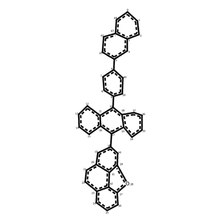 c1ccc2cc(-c3ccc(-c4c5ccccc5c(-c5cc6ccc7cccc8oc(c5)c6c78)c5ccccc45)cc3)ccc2c1